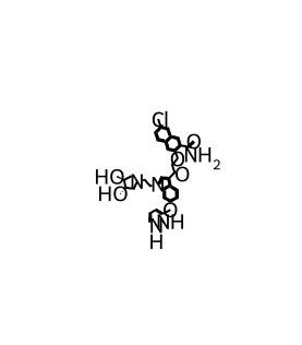 NC(=O)c1cc2cc(Cl)ccc2cc1OCC(=O)c1cn(CCN2C[C@H](O)[C@@H](O)C2)c2cc(OC3=CC=CNN3)ccc12